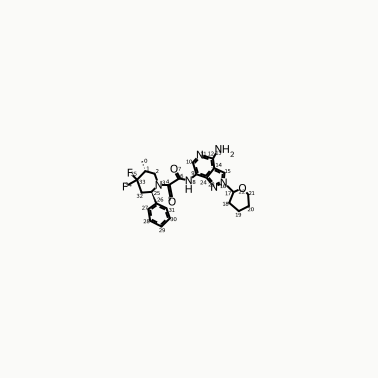 C[C@@H]1CN(C(=O)C(=O)Nc2cnc(N)c3cn(C4CCCCO4)nc23)[C@@H](c2ccccc2)CC1(F)F